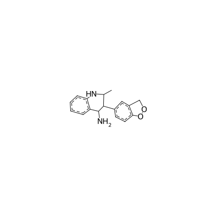 CC1Nc2ccccc2C(N)C1c1ccc2c(c1)COO2